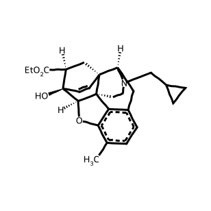 CCOC(=O)[C@H]1C[C@@]23C=C[C@]1(O)[C@@H]1Oc4c(C)ccc5c4[C@@]12CCN(CC1CC1)[C@@H]3C5